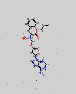 CCCOC(=O)[C@H](Cc1ccccc1)N(O)CO[C@H]1CO[C@@H](n2cnc3c(N)ncnc32)C1